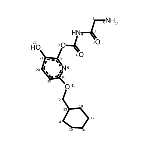 NCC(=O)NC(=O)Oc1nc(OCC2CCCCC2)ccc1O